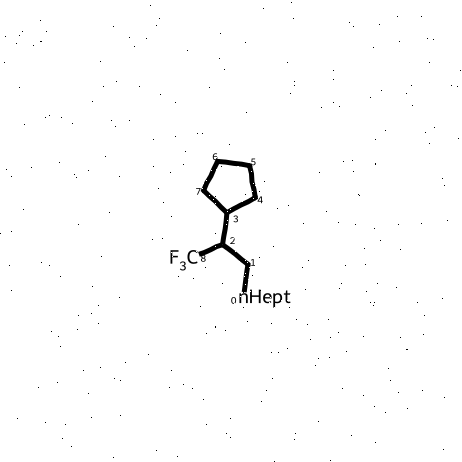 CCCCCCCCC(C1CCCC1)C(F)(F)F